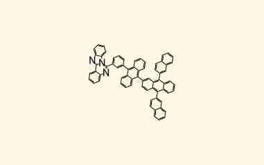 c1cc(-c2c3ccccc3c(-c3ccc4c(-c5ccc6ccccc6c5)c5ccccc5c(-c5ccc6ccccc6c5)c4c3)c3ccccc23)cc(-c2nc3ccccc3c3nc4ccccc4n23)c1